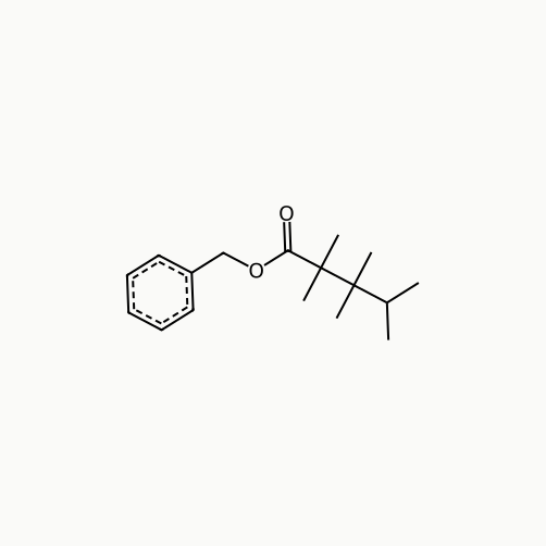 CC(C)C(C)(C)C(C)(C)C(=O)OCc1ccccc1